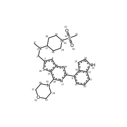 CN(Cc1cc2nc(-c3cccc4[nH]ccc34)nc(N3CCOCC3)c2s1)C1CCN(S(C)(=O)=O)CC1